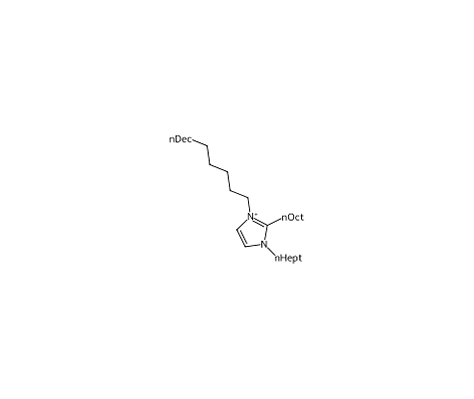 CCCCCCCCCCCCCCC[n+]1ccn(CCCCCCC)c1CCCCCCCC